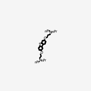 CCCN(CCC)CCCOc1ccc2c(c1)sc1ccc(OCCCN(CCC)CCC)cc12